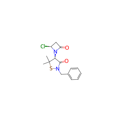 CC1(C)SN(Cc2ccccc2)C(=O)[C@@H]1N1C(=O)C[C@@H]1Cl